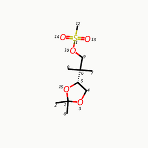 CC1(C)OC[C@@H](C(C)(C)COS(C)(=O)=O)O1